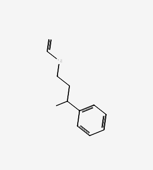 O=CNCCC(O)c1ccccc1